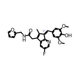 COc1cc(/C=C2/C(C)=C(CC(=O)NCc3ccco3)c3cc(F)cnc32)cc(OC)c1O